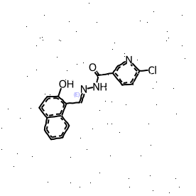 O=C(N/N=C/c1c(O)ccc2ccccc12)c1ccc(Cl)nc1